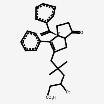 C=C(c1ccccc1)[C@@]12CCC(=O)C1CC(CC(C)(C)CC(CC)CC(=O)O)=C2c1ccccc1